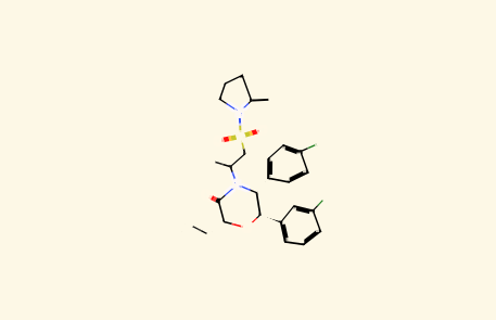 CCC(CS(=O)(=O)N1CCCC1C)N1C(=O)[C@@H](CC(=O)O)O[C@H](c2cccc(Cl)c2)[C@H]1c1ccc(Cl)cc1